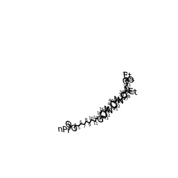 CCCC(=O)OCCCCCCCCCOc1ccc(N=Nc2ccc(N=Nc3ccc(N(CC)CCOC(=O)CC)cc3)cc2)cc1